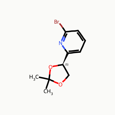 CC1(C)OC[C@H](c2cccc(Br)n2)O1